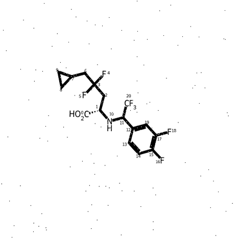 O=C(O)[C@H](CC(F)(F)CC1CC1)NC(c1ccc(F)c(F)c1)C(F)(F)F